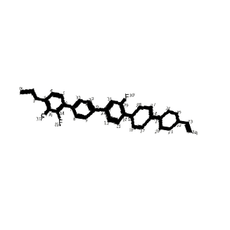 C=CCc1ccc(-c2ccc(-c3ccc(C4CCC(C5CCC(C=C)CC5)CC4)c(F)c3)cc2)c(F)c1F